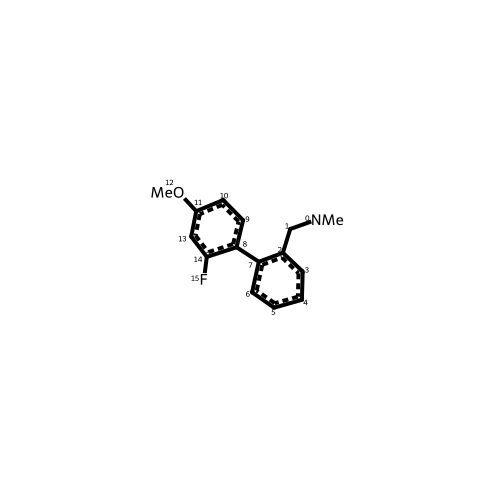 CNCc1ccccc1-c1ccc(OC)cc1F